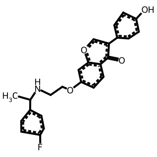 CC(NCCOc1ccc2c(=O)c(-c3ccc(O)cc3)coc2c1)c1ccc(F)cc1